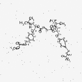 COC(=O)NC=Cc1ccc(OCC(CNC(C)C)OC(=O)/C=C/C(=O)OC(CNC(C)C)COc2ccc(C=CNC(=O)OC)cc2)cc1